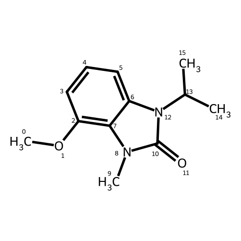 COc1cccc2c1n(C)c(=O)n2C(C)C